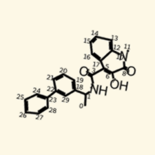 CC(NC(=O)c1c(O)c(=O)n(C)c2ccccc12)c1cccc(-c2ccccc2)c1